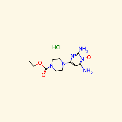 CCOC(=O)N1CCN(c2cc(N)[n+]([O-])c(N)n2)CC1.Cl